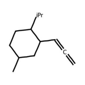 C=C=CC1CC(C)CCC1C(C)C